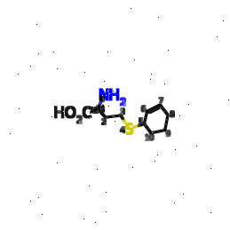 N[C@@H](CCSC1C=CCCC1)C(=O)O